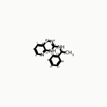 CC(NC1=NSc2cccnc2N1)c1ccccc1